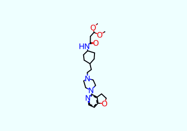 COC(CC(=O)NC1CCC(CCN2CCN(c3nccc4c3CCO4)CC2)CC1)OC